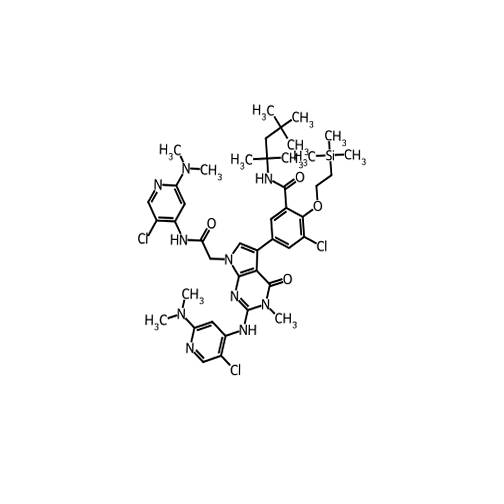 CN(C)c1cc(NC(=O)Cn2cc(-c3cc(Cl)c(OCC[Si](C)(C)C)c(C(=O)NC(C)(C)CC(C)(C)C)c3)c3c(=O)n(C)c(Nc4cc(N(C)C)ncc4Cl)nc32)c(Cl)cn1